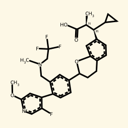 COc1cc(-c2ccc(C3CCc4ccc([C@H](C5CC5)[C@H](C)C(=O)O)cc4O3)cc2CN(C)CC(F)(F)F)c(F)cn1